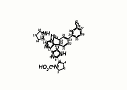 O=C(O)N1CCC[C@H]1c1ncc(C2(c3cnc([C@@H]4CCCN4)[nH]3)C=CC(c3cccc(F)c3)=CC2F)[nH]1